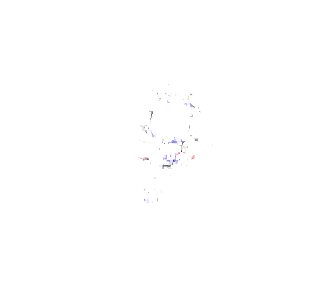 C=Cc1c(C)c2cc3nc(c(CC(=O)OC)c4[nH]c(cc5nc(cc1[nH]2)C(C)=C5CC)c(C)c4C(=O)NCCCCCCN)[C@@H](CCC(=O)OC)[C@@H]3C